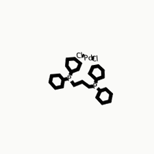 C1CCC(P(CCCP(C2CCCCC2)C2CCCCC2)C2CCCCC2)CC1.[Cl][Pd][Cl]